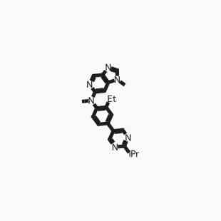 CCc1cc(-c2cnc(C(C)C)nc2)ccc1N(C)c1cc2c(cn1)ncn2C